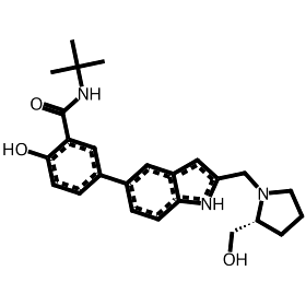 CC(C)(C)NC(=O)c1cc(-c2ccc3[nH]c(CN4CCC[C@@H]4CO)cc3c2)ccc1O